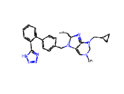 CCCCC1N=C2C(=CN(CCC)CN2CC2CC2)N1Cc1ccc(-c2ccccc2-c2nnn[nH]2)cc1